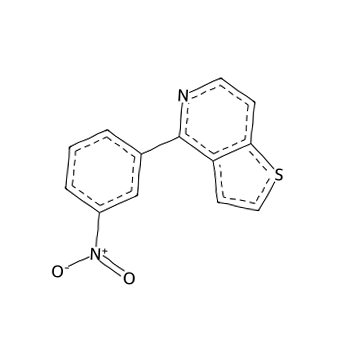 O=[N+]([O-])c1cccc(-c2nccc3sccc23)c1